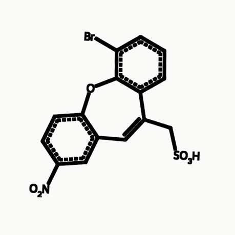 O=[N+]([O-])c1ccc2c(c1)C=C(CS(=O)(=O)O)c1cccc(Br)c1O2